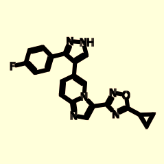 Fc1ccc(-c2n[nH]cc2-c2ccc3ncc(-c4noc(C5CC5)n4)n3c2)cc1